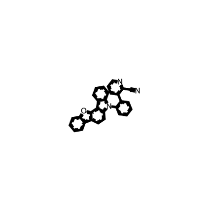 N#Cc1ncccc1-c1ccccc1-n1c2ccccc2c2c3oc4ccccc4c3ccc21